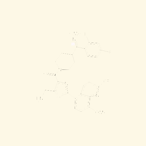 CO/N=C(\c1ccc(F)cc1F)C1CCN(C(=O)c2nc(-c3ccc(OC)c4nc(C(F)(F)F)ccc34)oc2CN)CC1